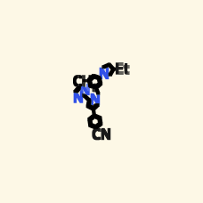 CCC1CCN(c2ccc3c(c2)Cn2cc(-c4ccc(C#N)cc4)cc2-c2ncc(C)n2-3)C1